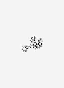 CCc1cccc(CC)c1-c1cc(OC(C)C)c(COCCC2CCCCC2)cn1